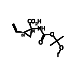 C=C[C@@H]1C[C@]1(NC(=O)OC(C)(C)OI)C(=O)O